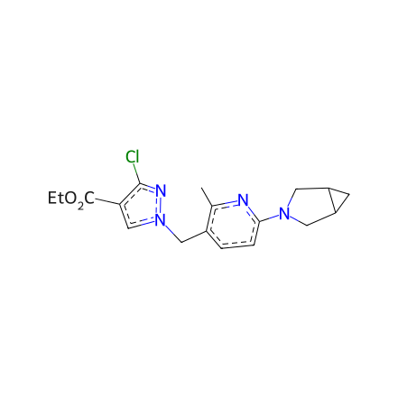 CCOC(=O)c1cn(Cc2ccc(N3CC4CC4C3)nc2C)nc1Cl